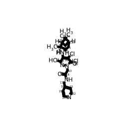 C[C@H]1[C@H]2C[C@H](C[C@H]1Nc1c(O)nn(CC(=O)NCc3ccncc3)c(=O)c1Cl)C2(C)C.Cl